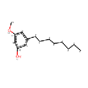 CCCCCCCCc1cc(O)cc(OC)c1